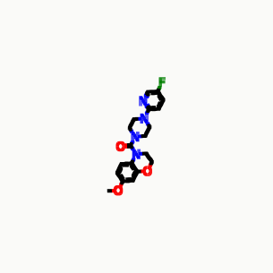 COc1ccc2c(c1)OCCN2C(=O)N1CCN(c2ccc(F)cn2)CC1